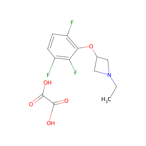 CCN1CC(Oc2c(F)ccc(F)c2F)C1.O=C(O)C(=O)O